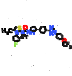 Cc1cs/c(=N\C(=O)NC2CCC(c3ccc(-c4ncn(-c5ccc(OC(F)(F)F)cc5)n4)cc3)C2)n1-c1ccc(F)cc1C(C)C